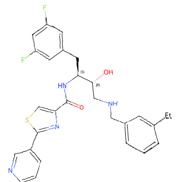 CCc1cccc(CNC[C@@H](O)[C@H](Cc2cc(F)cc(F)c2)NC(=O)c2csc(-c3cccnc3)n2)c1